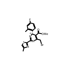 COC(=O)C1=C(CBr)NC(c2nc(C)cs2)=N[C@@H]1c1ccc(F)cc1C